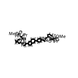 CCC1CCC(c2ncc(-c3ccc(-c4ccc5cc(-c6cnc([C@@H]7CC8(CC8)CN7C(=O)[C@@H](NC(=O)OC)C(C)C)[nH]6)ccc5c4)cc3)[nH]2)N1C(=O)[C@@H](NC(=O)OC)C(C)C